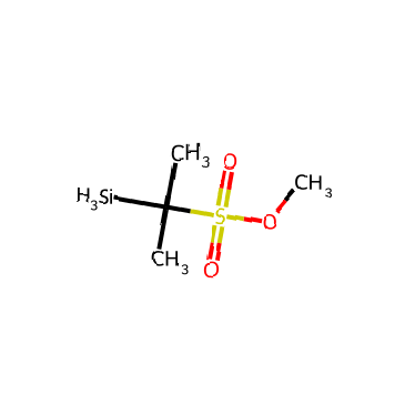 COS(=O)(=O)C(C)(C)[SiH3]